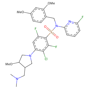 COc1ccc(CN(c2cccc(F)n2)S(=O)(=O)c2c(F)cc(N3CC(CN(C)C)C(OC)C3)c(Cl)c2F)c(OC)c1